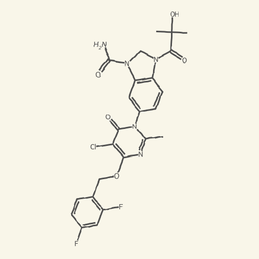 Cc1nc(OCc2ccc(F)cc2F)c(Cl)c(=O)n1-c1ccc2c(c1)N(C(N)=O)CN2C(=O)C(C)(C)O